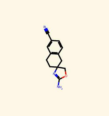 N#Cc1ccc2c(c1)CCC1(COC(N)=N1)C2